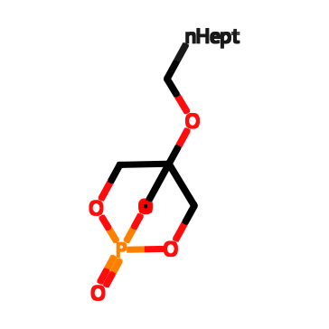 CCCCCCCCOC12COP(=O)(OC1)OC2